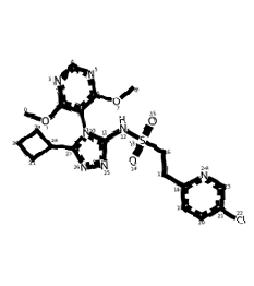 COc1ncnc(OC)c1-n1c(NS(=O)(=O)CCc2ccc(Cl)cn2)nnc1C1CCC1